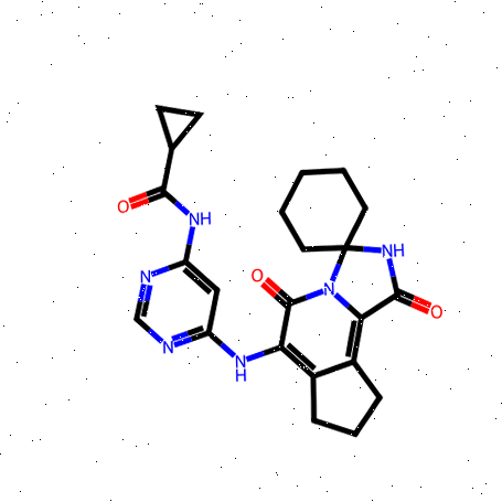 O=C1NC2(CCCCC2)n2c1c1c(c(Nc3cc(NC(=O)C4CC4)ncn3)c2=O)CCC1